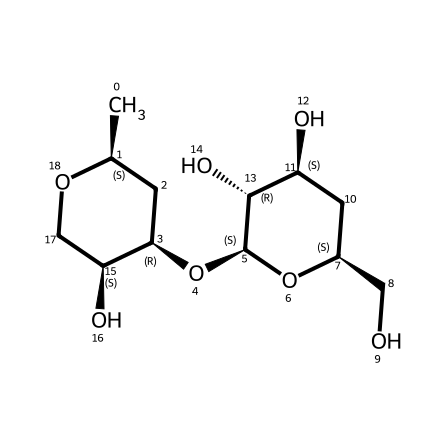 C[C@H]1C[C@@H](O[C@@H]2O[C@H](CO)C[C@H](O)[C@H]2O)[C@@H](O)CO1